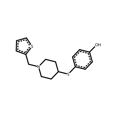 Oc1ccc(SC2CCN(Cc3cccs3)CC2)cc1